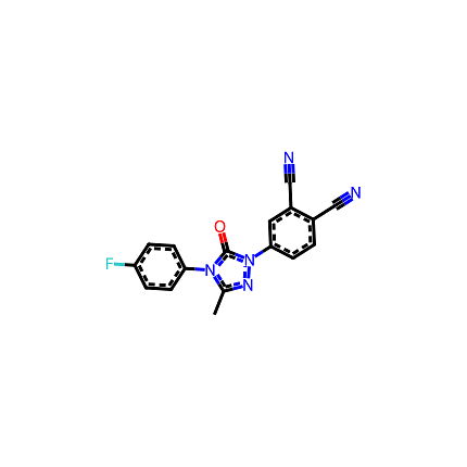 Cc1nn(-c2ccc(C#N)c(C#N)c2)c(=O)n1-c1ccc(F)cc1